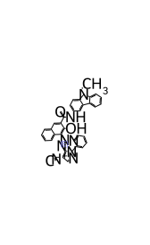 [C-]#[N+]c1cnn(-c2ccccn2)c1/N=N/c1c(O)c(C(=O)Nc2ccc3c(c2)c2ccccc2n3CC)cc2ccccc12